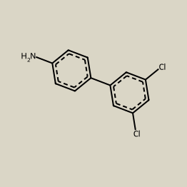 Nc1ccc(-c2cc(Cl)cc(Cl)c2)cc1